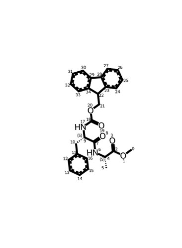 COC(=O)[C@H](C)NC(=O)[C@H](Cc1ccccc1)NC(=O)OCC1c2ccccc2-c2ccccc21